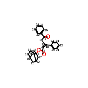 O=C(C[C@@H]1C(C(=O)OC23CC4CC(CC(C4)C2)C3)C1c1ccccc1)c1ccccc1